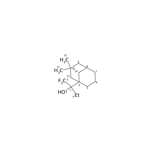 CCC(O)(C(F)(F)F)C12CCCC(CC(C)(C)C1)C2